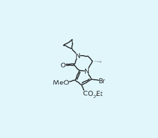 CCOC(=O)c1c(OC)c2n(c1Br)[C@@H](C)CN(C1CC1)C2=O